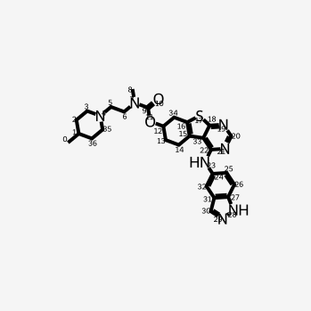 CC1CCN(CCN(C)C(=O)OC2CCc3c(sc4ncnc(Nc5ccc6[nH]ncc6c5)c34)C2)CC1